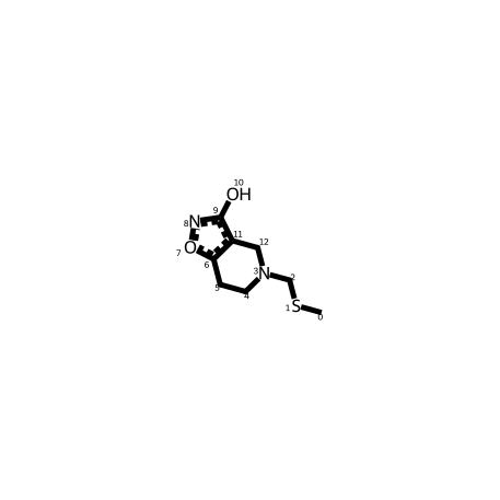 CSCN1CCc2onc(O)c2C1